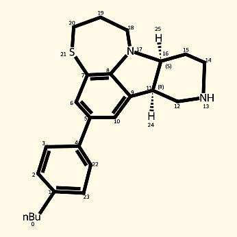 CCCCc1ccc(-c2cc3c4c(c2)[C@@H]2CNCC[C@@H]2N4CCCS3)cc1